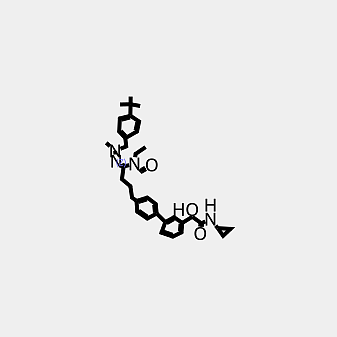 CCN(C=O)/C(CCCc1ccc(-c2cccc(C(O)C(=O)NC3CC3)c2)cc1)=N\N(C)Cc1ccc(C(C)(C)C)cc1